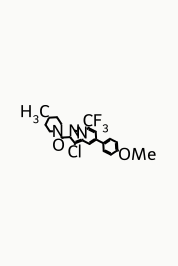 COc1ccc(-c2cc(C(F)(F)F)n3nc(C(=O)N4CCC(C)CC4)c(Cl)c3c2)cc1